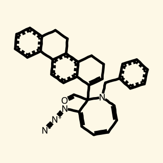 [N-]=[N+]=NC1=CC=CC=CN(Cc2ccccc2)C1(C=O)C1=CCCc2c1ccc1c2CCc2ccccc2-1